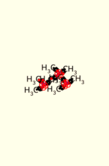 Cc1ccc(OP(=O)(Oc2ccc(C)cc2)Oc2ccc(C)cc2)cc1.Cc1ccc(OP(=O)(Oc2ccc(C)cc2)Oc2ccc(C)cc2)cc1.Cc1ccc(OP(=O)(Oc2ccc(C)cc2)Oc2ccc(C)cc2)cc1